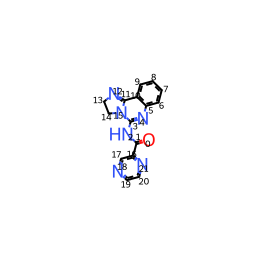 O=C(NC1=Nc2ccccc2C2=NCCN12)c1cnccn1